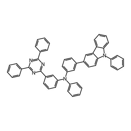 c1ccc(-c2nc(-c3ccccc3)nc(-c3cccc(N(c4ccccc4)c4cccc(-c5ccc6c(c5)c5ccccc5n6-c5ccccc5)c4)c3)n2)cc1